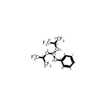 FC(F)(F)C(OP(Oc1ccccc1)OC(C(F)(F)F)C(F)(F)F)C(F)(F)F